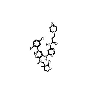 CN1CCN(CCC(=O)Nc2cc(Nc3cc(-c4cc(Cl)ccc4F)nnc3N(C)CC3(C)CCOC3=O)ncn2)CC1